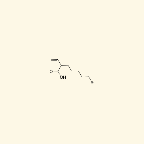 C=CC(CCCCC[S])C(=O)O